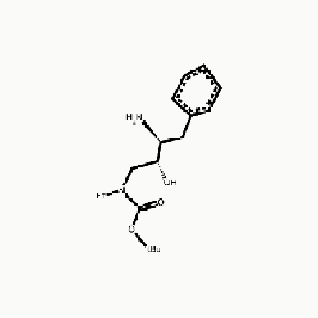 CCN(C[C@@H](O)[C@@H](N)Cc1ccccc1)C(=O)OC(C)(C)C